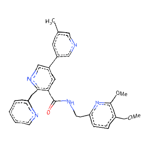 COc1ccc(CNC(=O)c2cc(-c3cncc(C)c3)cnc2-c2ccccn2)nc1OC